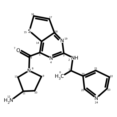 CC(Nc1nc(C(=O)N2CCC(N)C2)c2sccc2n1)c1cccnc1